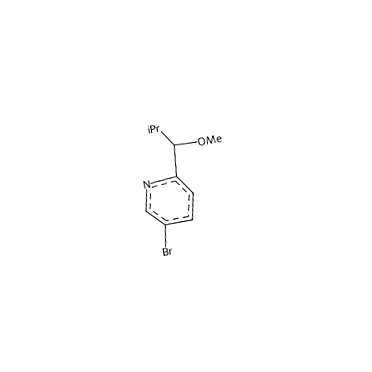 COC(c1ccc(Br)cn1)C(C)C